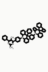 Cc1nc(-c2ccccc2)c(C)c(-c2ccc(N3c4ccccc4C(c4ccccc4)(c4cccc(N5c6ccccc6C6(c7ccccc7-c7ccccc76)c6ccccc65)c4)c4ccccc43)cc2)n1